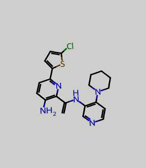 C=C(Nc1cnccc1N1CCCCC1)c1nc(-c2ccc(Cl)s2)ccc1N